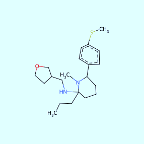 CCCC1(NCC2CCOC2)CCCC(c2ccc(SC)cc2)N1C